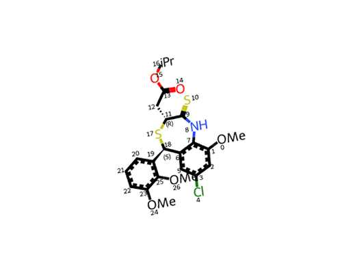 COc1cc(Cl)cc2c1NC(=S)[C@@H](CC(=O)OC(C)C)S[C@@H]2c1cccc(OC)c1OC